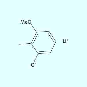 COc1cccc([O-])c1C.[Li+]